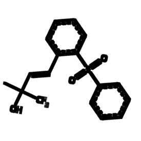 CC(O)(C=Cc1ccccc1S(=O)(=O)c1ccccc1)C(F)(F)F